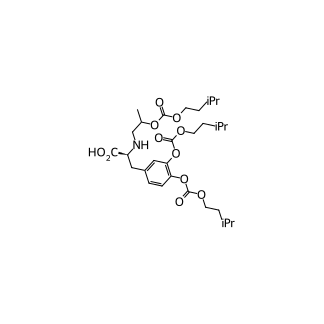 CC(C)CCOC(=O)Oc1ccc(C[C@H](NCC(C)OC(=O)OCCC(C)C)C(=O)O)cc1OC(=O)OCCC(C)C